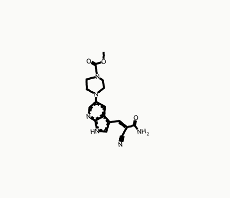 COC(=O)N1CCN(c2cnc3[nH]cc(/C=C(\C#N)C(N)=O)c3c2)CC1